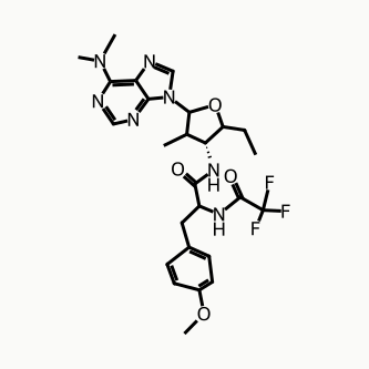 CCC1OC(n2cnc3c(N(C)C)ncnc32)C(C)[C@H]1NC(=O)C(Cc1ccc(OC)cc1)NC(=O)C(F)(F)F